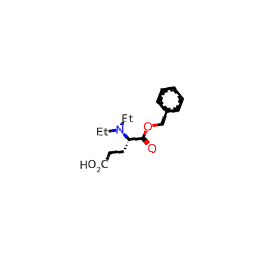 CCN(CC)[C@@H](CCC(=O)O)C(=O)OCc1ccccc1